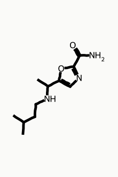 CC(C)CCNC(C)c1cnc(C(N)=O)o1